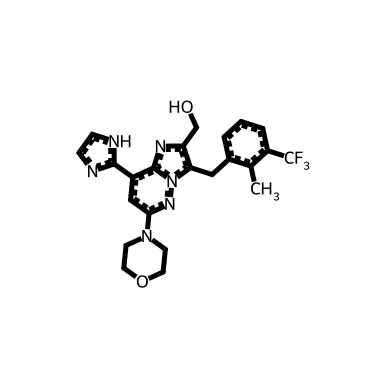 Cc1c(Cc2c(CO)nc3c(-c4ncc[nH]4)cc(N4CCOCC4)nn23)cccc1C(F)(F)F